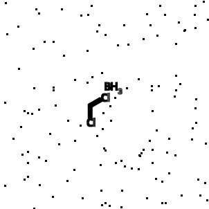 B.ClCCl